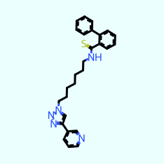 S=C(NCCCCCCCn1cc(-c2cccnc2)nn1)c1ccccc1-c1ccccc1